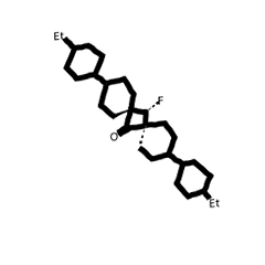 CCC1CCC(C2CC[C@]3(CC2)C(=O)[C@@]2(CCC(C4CCC(CC)CC4)CC2)[C@H]3F)CC1